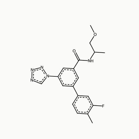 COCC(C)NC(=O)c1cc(-c2ccc(C)c(F)c2)cc(-n2cnnn2)c1